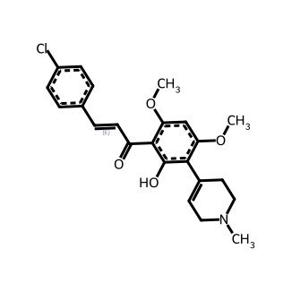 COc1cc(OC)c(C2=CCN(C)CC2)c(O)c1C(=O)/C=C/c1ccc(Cl)cc1